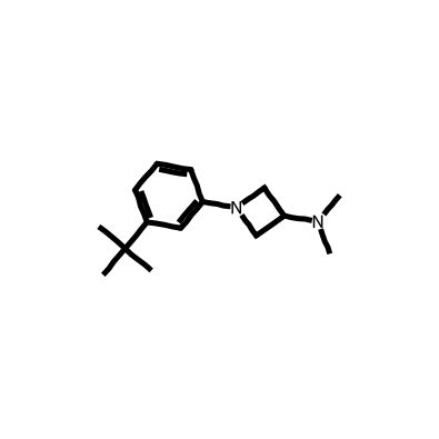 CN(C)C1CN(c2cccc(C(C)(C)C)c2)C1